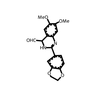 COc1cc2c(cc1OC)C(C=O)NC(c1ccc3c(c1)OCCO3)=N2